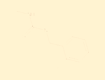 CNC(=O)NCc1ccccc1C